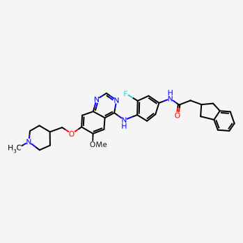 COc1cc2c(Nc3ccc(NC(=O)CC4Cc5ccccc5C4)cc3F)ncnc2cc1OCC1CCN(C)CC1